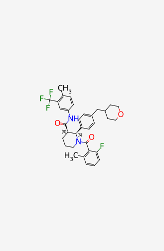 Cc1ccc(NC(=O)[C@@H]2CCCN(C(=O)c3c(C)cccc3F)[C@@H]2c2ccc(CC3CCOCC3)cc2)cc1C(F)(F)F